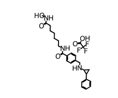 O=C(CCCCCCNC(=O)c1ccc(CNC2CC2c2ccccc2)cc1)NO.O=C(O)C(F)(F)F